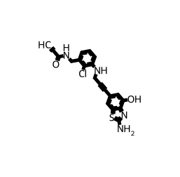 C#CC(=O)NCc1cccc(NCC#Cc2cc(O)c3nc(N)sc3c2)c1Cl